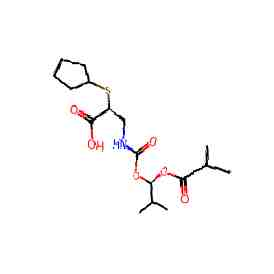 CC(C)C(=O)O[C@H](OC(=O)NC[C@H](SC1CCCC1)C(=O)O)C(C)C